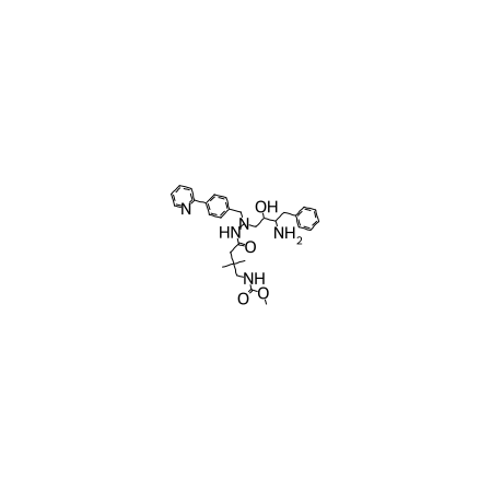 COC(=O)NCC(C)(C)CC(=O)NN(Cc1ccc(-c2ccccn2)cc1)CC(O)C(N)Cc1ccccc1